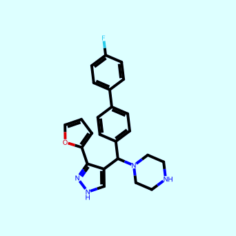 Fc1ccc(-c2ccc(C(c3c[nH]nc3-c3ccco3)N3CCNCC3)cc2)cc1